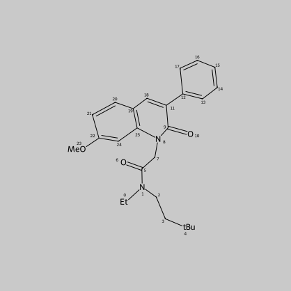 CCN(CCC(C)(C)C)C(=O)Cn1c(=O)c(-c2ccccc2)cc2ccc(OC)cc21